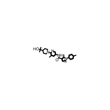 Cc1ccc(-n2ncc(C(=O)Nc3cnc(N4CCC(C(C)(C)O)CC4)c(C)c3)c2C)cc1